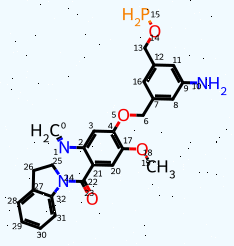 C=Nc1cc(OCc2cc(N)cc(COP)c2)c(OC)cc1C(=O)N1CCc2ccccc21